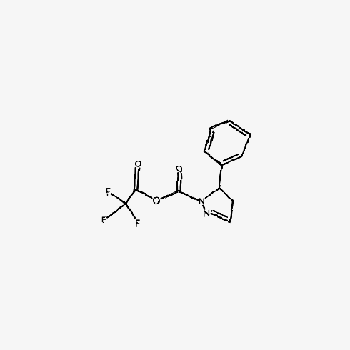 O=C(OC(=O)C(F)(F)F)N1N=CCC1c1ccccc1